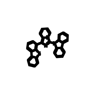 c1ccc2c(c1)sc1c(-c3nc(-n4c5ccccc5c5ccccc54)n4ccccc34)cccc12